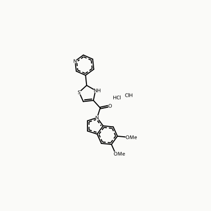 COc1cc2ccn(C(=O)C3=CSC(c4cccnc4)N3)c2cc1OC.Cl.Cl